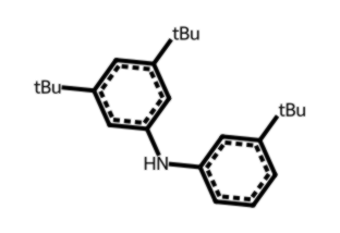 CC(C)(C)c1cccc(Nc2cc(C(C)(C)C)cc(C(C)(C)C)c2)c1